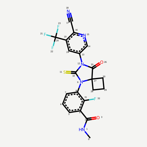 CNC(=O)c1cccc(N2C(=S)N(c3cnc(C#N)c(C(F)(F)F)c3)C(=O)C23CCC3)c1F